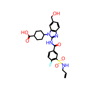 C=CCNS(=O)(=O)c1cc(C(=O)Nc2nc3ccc(CO)cc3n2C2CCC(C(=O)O)CC2)ccc1F